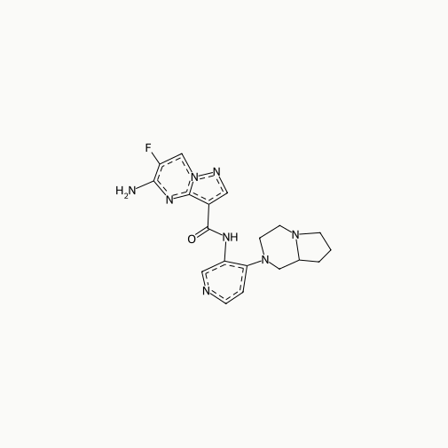 Nc1nc2c(C(=O)Nc3cnccc3N3CCN4CCCC4C3)cnn2cc1F